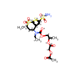 CCN(C(=O)OCC(C)OC(=O)COC(C)=O)[C@H]1C[C@H](C)S(=O)(=O)c2sc(S(N)(=O)=O)cc21